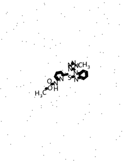 CCOC(=O)Nc1cccc(CSc2nc3ccccc3n2-c2nnnn2C)n1